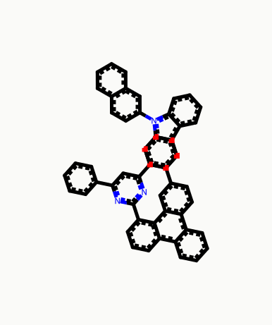 c1ccc(-c2cc(-c3ccccc3)nc(-c3cccc4c5ccccc5c5ccc(-c6ccc7c(c6)c6ccccc6n7-c6ccc7ccccc7c6)cc5c34)n2)cc1